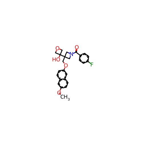 COc1ccc2cc(OCC3(C4(O)COC4)CN(C(=O)c4ccc(F)cc4)C3)ccc2c1